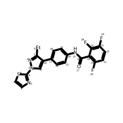 CCc1nn(-c2nccs2)cc1-c1ccc(NC(=O)c2c(F)ccc(F)c2F)cc1